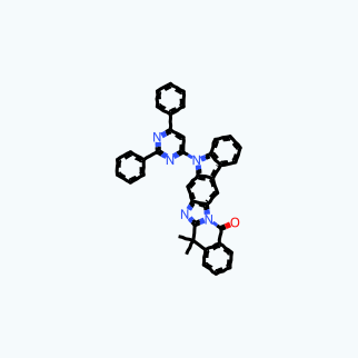 CC1(C)c2ccccc2C(=O)n2c1nc1cc3c(cc12)c1ccccc1n3-c1cc(-c2ccccc2)nc(-c2ccccc2)n1